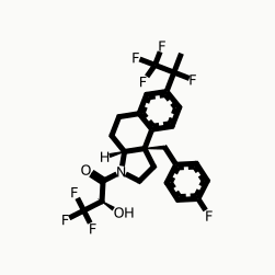 CC(F)(c1ccc2c(c1)CC[C@H]1N(C(=O)[C@@H](O)C(F)(F)F)CC[C@@]21Cc1ccc(F)cc1)C(F)(F)F